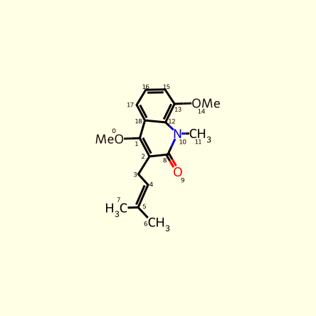 COc1c(CC=C(C)C)c(=O)n(C)c2c(OC)cccc12